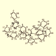 c1ccc(-c2nc(-c3ccccc3)nc(-c3cccc4sc5ccc(-c6ccc7c(c6)c6ccccc6n7-c6ccc7c(c6)C(c6ccccc6)(c6ccccc6)c6ccccc6-7)cc5c34)n2)cc1